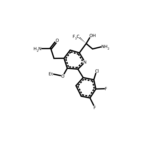 CCOc1c(CC(N)=O)cc([C@@](O)(CN)C(F)(F)F)nc1-c1ccc(F)c(F)c1Cl